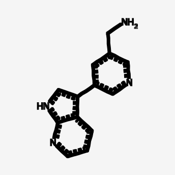 NCc1cncc(-c2c[nH]c3ncccc23)c1